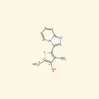 Cc1c(-c2cnc3ccccn23)sc(C(=O)O)c1O